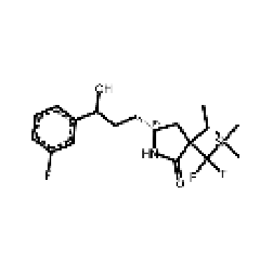 CCC1(C(F)(F)[Si](C)(C)C)C[C@@H](CCC(O)c2cccc(F)c2)NC1=O